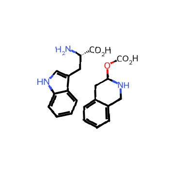 N[C@@H](Cc1c[nH]c2ccccc12)C(=O)O.O=C(O)OC1Cc2ccccc2CN1